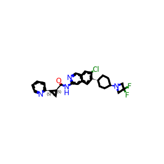 O=C(Nc1cc2cc([C@H]3CC[C@H](N4CC(F)(F)C4)CC3)c(Cl)cc2cn1)[C@H]1C[C@@H]1c1ccccn1